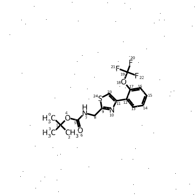 CC(C)(C)OC(=O)NCc1nc(-c2ccccc2OC(F)(F)F)cs1